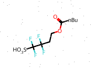 CCCCC(=O)OCCC(F)(F)C(F)(F)S(=O)(=O)O